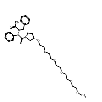 COCCOCCOCCOCCOCCO[C@H]1CCN(C(=O)[C@H](c2ccccc2)N(Cc2ccccc2)C(=O)O)C1